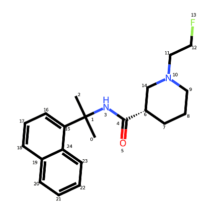 CC(C)(NC(=O)[C@H]1CCCN(CCF)C1)c1cccc2ccccc12